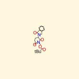 CC(C)(C)C(=O)OCN1C(=O)CCC(N2Cc3ccccc3C2=O)C1=O